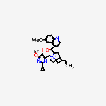 C=CC1CC23CC[N+]2(Cc2cc(OCC)nc(C4CC4)n2)C([C@@H](O)c2ccnc4ccc(OC)cc24)CC13